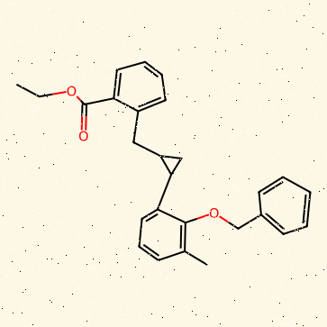 CCOC(=O)c1ccccc1CC1CC1c1cccc(C)c1OCc1ccccc1